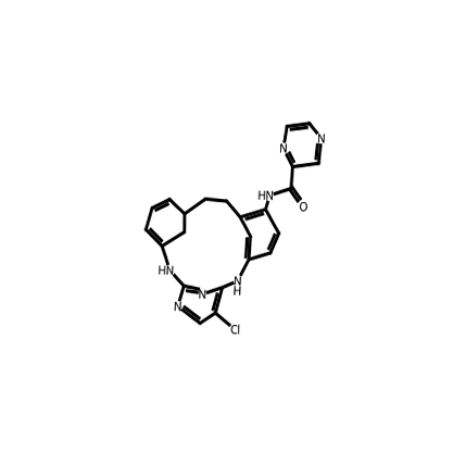 O=C(Nc1ccc2cc1CCC1C=CC=C(C1)Nc1ncc(Cl)c(n1)N2)c1cnccn1